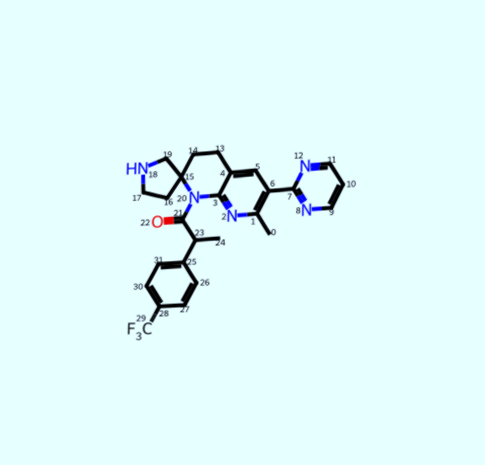 Cc1nc2c(cc1-c1ncccn1)CCC1(CCNC1)N2C(=O)C(C)c1ccc(C(F)(F)F)cc1